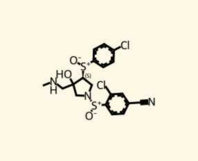 CNCC1(O)CN([S+]([O-])c2ccc(C#N)cc2Cl)C[C@@H]1[S+]([O-])c1ccc(Cl)cc1